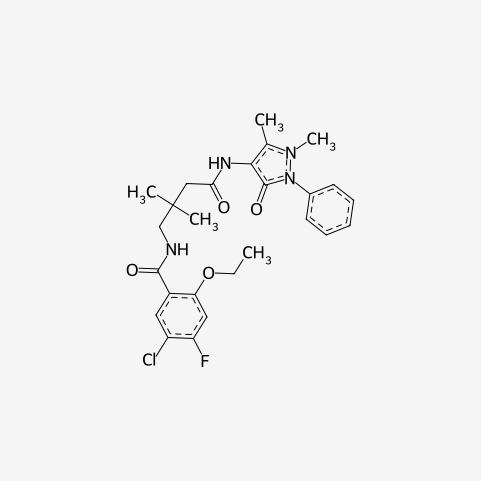 CCOc1cc(F)c(Cl)cc1C(=O)NCC(C)(C)CC(=O)Nc1c(C)n(C)n(-c2ccccc2)c1=O